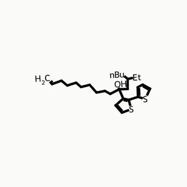 C=CCCCCCCCCC(O)(CC(CC)CCCC)c1ccsc1-c1cccs1